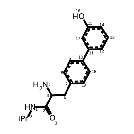 CC(C)NC(=O)C(N)Cc1ccc(-c2cccc(O)c2)cc1